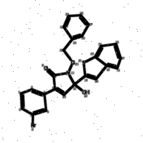 O=C1C(c2cccc(Br)c2)=CC(O)(c2cc3ccccc3s2)N1OCc1ccccc1